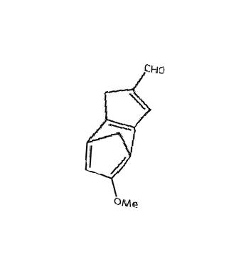 COC1=C2CC(=C1)C1=C2C=C(C=O)C1